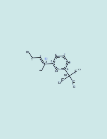 CC/C=C(\C)c1cccc(C(F)(F)F)c1